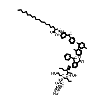 C#C.C#C.CCCCC(O)CO.CCCCCCCCCCCCCCCCC([CH-]O)C(=O)O.CCCCOCCO.Cc1ccc(C)cc1.Cc1ccccc1.O=C(c1ccccc1)c1ccccc1.O=C(c1ccccc1)c1ccccc1C(Cl)Cl.O=P([O-])([O-])O.[Na+].[Na+].[Na+].[Na+].[OH-]